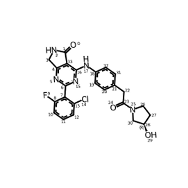 O=C1NCc2nc(-c3c(F)cccc3Cl)nc(Nc3ccc(CC(=O)N4CC[C@@H](O)C4)cc3)c21